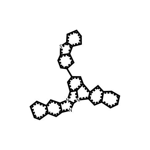 c1ccc2cc3c(cc2c1)nc1n3c2cc(-c3ccc4sc5ccccc5c4c3)cc3c4cc5ccccc5cc4n1c32